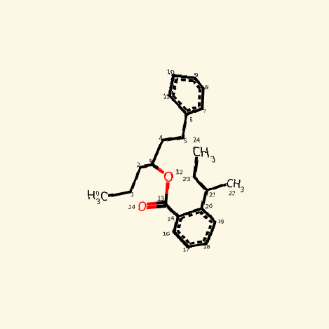 CCCC(CCc1ccccc1)OC(=O)c1ccccc1C(C)CC